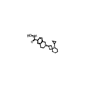 O=C(NO)c1cnc2c(c1)CCN(C1CC3(CCCCN3C3CC3)C1)C2